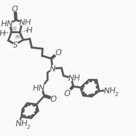 Nc1ccc(C(=O)NCCN(CCNC(=O)c2ccc(N)cc2)C(=O)CCCCC2SC[C@H]3NC(=O)N[C@@H]23)cc1